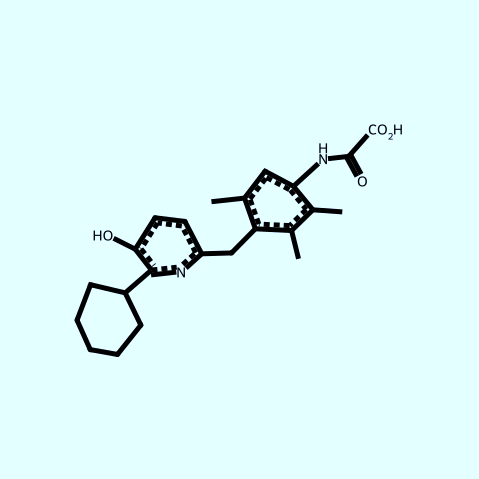 Cc1cc(NC(=O)C(=O)O)c(C)c(C)c1Cc1ccc(O)c(C2CCCCC2)n1